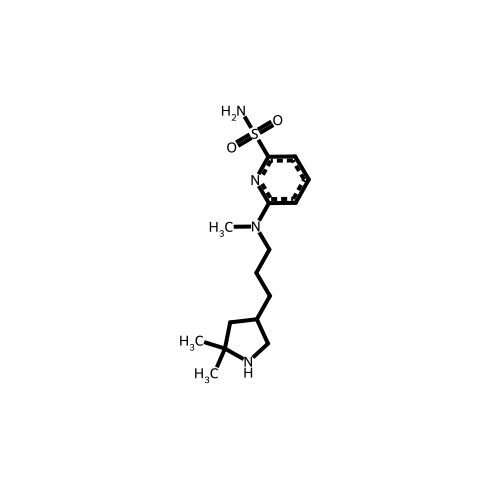 CN(CCCC1CNC(C)(C)C1)c1cccc(S(N)(=O)=O)n1